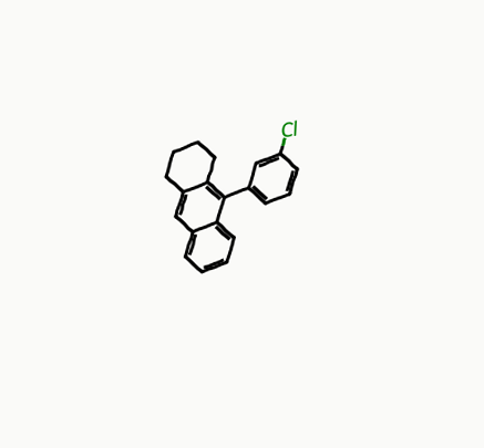 Clc1cccc(-c2c3c(cc4ccccc24)CCCC3)c1